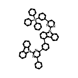 c1ccc(-c2cc(-c3cccc(-c4cccc5c4c4ccccc4n5-c4nccc(-c5cccc([Si](c6ccccc6)(c6ccccc6)c6ccccc6)c5)n4)c3)nc(-n3c4ccccc4c4ccccc43)n2)cc1